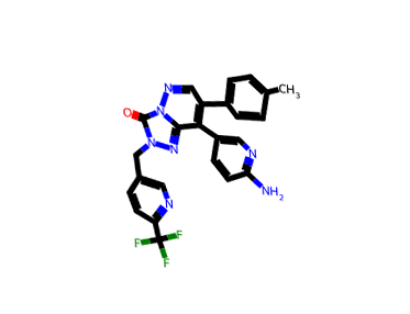 Cc1ccc(-c2cnn3c(=O)n(Cc4ccc(C(F)(F)F)nc4)nc3c2-c2ccc(N)nc2)cc1